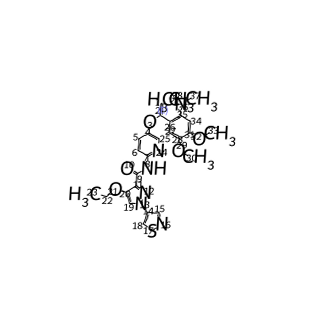 C/C=C(/Oc1ccc(NC(=O)c2nn(-c3cnsc3)cc2OCC)nc1)c1cc(OC)c(OC)cc1N(C)C